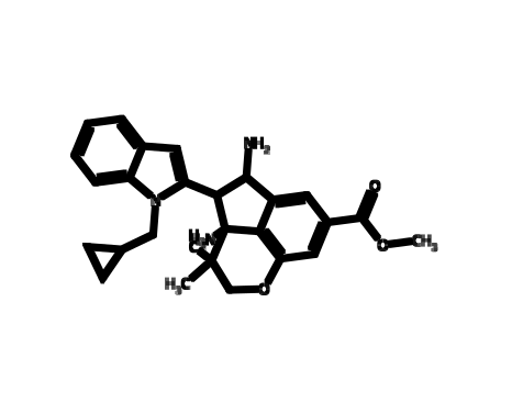 COC(=O)c1cc2c3c(c1)C(N)C(c1cc4ccccc4n1CC1CC1)C3(N)C(C)(C)CO2